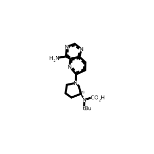 CC(C)(C)N(C(=O)O)[C@H]1CCCN(c2ccc3ncnc(N)c3n2)C1